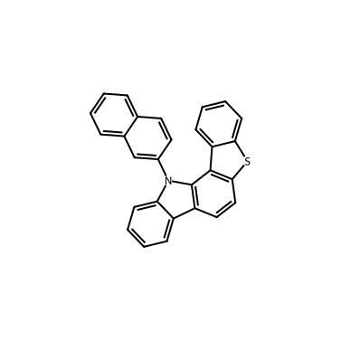 c1ccc2cc(-n3c4ccccc4c4ccc5sc6ccccc6c5c43)ccc2c1